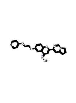 O/N=c1\cc(-c2cc3cccn3cn2)oc2ccc(OCCOc3ccncc3)cc12